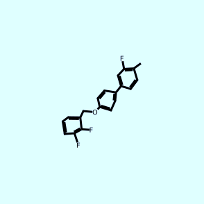 Cc1ccc(-c2ccc(OCc3cccc(F)c3F)cc2)cc1F